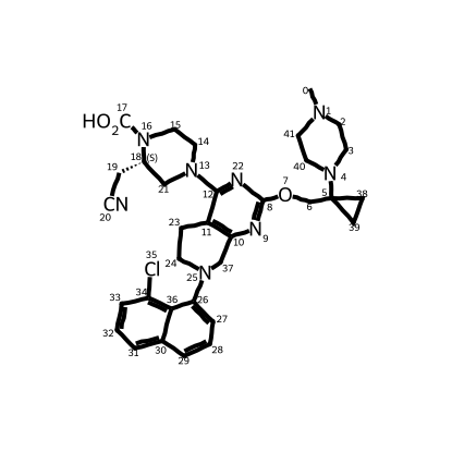 CN1CCN(C2(COc3nc4c(c(N5CCN(C(=O)O)[C@@H](CC#N)C5)n3)CCN(c3cccc5cccc(Cl)c35)C4)CC2)CC1